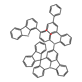 c1ccc(-c2cccc(-c3ccccc3N(c3ccc(-c4cccc5c4oc4ccccc45)cc3)c3cc4c5c(c3)c3ccccc3n5-c3ccccc3C43c4ccccc4-c4ccccc43)c2)cc1